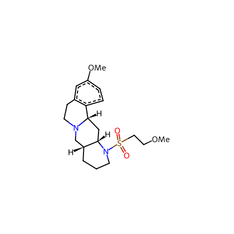 COCCS(=O)(=O)N1CCC[C@@H]2CN3CCc4cc(OC)ccc4[C@@H]3C[C@@H]21